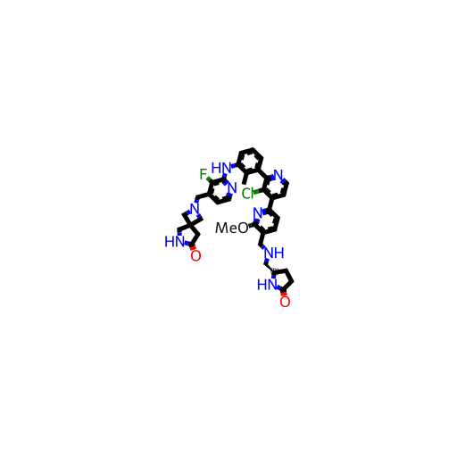 COc1nc(-c2ccnc(-c3cccc(Nc4nccc(CN5CC6(CNC(=O)C6)C5)c4F)c3C)c2Cl)ccc1CNC[C@H]1CCC(=O)N1